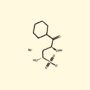 CO[C@@H](C[C@@H](O)S(=O)(=O)[O-])C(=O)C1CCCCC1.[Na+]